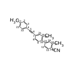 Cc1ccc(C#Cc2ccc(-c3ccc(C#N)c(C)c3)c(C)c2)cc1